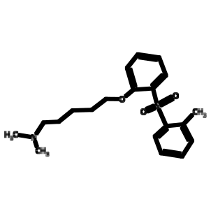 Cc1ccccc1S(=O)(=O)c1ccccc1OCCCCCN(C)C